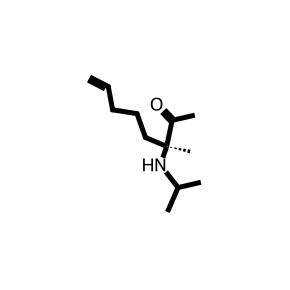 C=CCCC[C@](C)(NC(C)C)C(C)=O